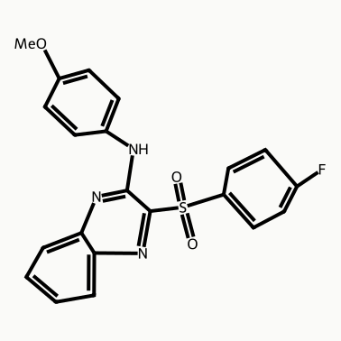 COc1ccc(Nc2nc3ccccc3nc2S(=O)(=O)c2ccc(F)cc2)cc1